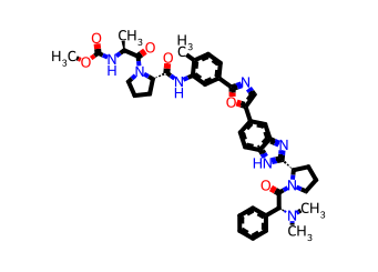 COC(=O)N[C@@H](C)C(=O)N1CCC[C@H]1C(=O)Nc1cc(-c2ncc(-c3ccc4[nH]c([C@@H]5CCCN5C(=O)[C@@H](c5ccccc5)N(C)C)nc4c3)o2)ccc1C